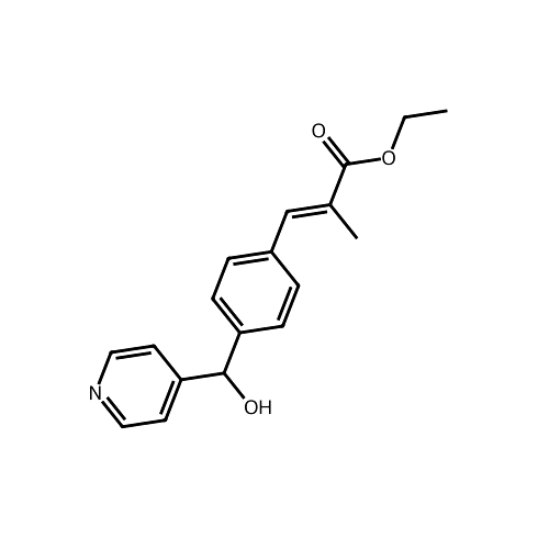 CCOC(=O)/C(C)=C/c1ccc(C(O)c2ccncc2)cc1